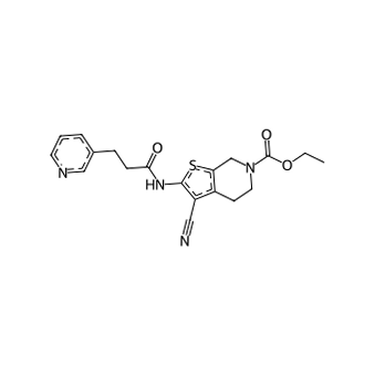 CCOC(=O)N1CCc2c(sc(NC(=O)CCc3cccnc3)c2C#N)C1